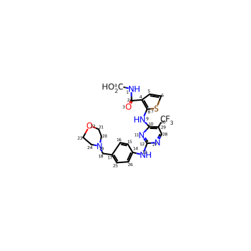 O=C(O)NC(=O)c1ccsc1Nc1nc(Nc2ccc(CN3CCOCC3)cc2)ncc1C(F)(F)F